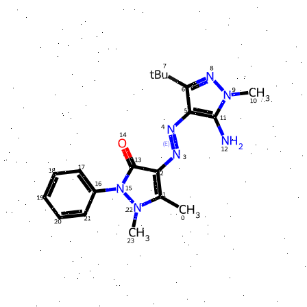 Cc1c(/N=N/c2c(C(C)(C)C)nn(C)c2N)c(=O)n(-c2ccccc2)n1C